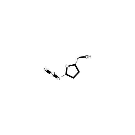 [N-]=[N+]=N[C@H]1CC[C@@H](CO)O1